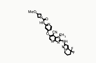 COC1CN(C(=O)Nc2cc(Oc3cnc4nc(Nc5cc6n(n5)CCCC6(F)F)n(C)c4c3C#N)ccn2)C1